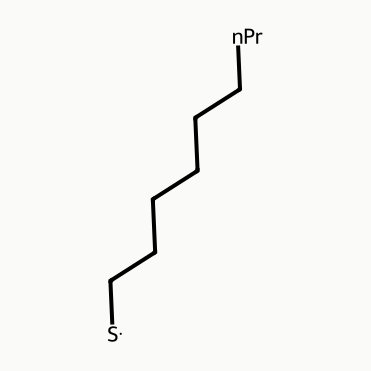 CCCCCCCCC[S]